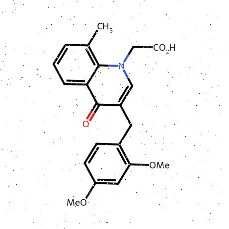 COc1ccc(Cc2cn(CC(=O)O)c3c(C)cccc3c2=O)c(OC)c1